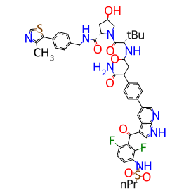 CCCS(=O)(=O)Nc1ccc(F)c(C(=O)c2c[nH]c3ncc(-c4ccc(C(CC(=O)N[C@H](C(=O)N5C[C@H](O)C[C@H]5C(=O)NCc5ccc(-c6scnc6C)cc5)C(C)(C)C)C(N)=O)cc4)cc23)c1F